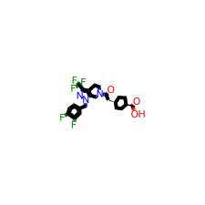 O=C(C[C@H]1CC[C@H](C(=O)O)CC1)N1CCc2c(C(F)(F)F)nn(Cc3ccc(F)c(F)c3)c2C1